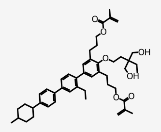 C=C(C)C(=O)OCCCc1cc(-c2ccc(-c3ccc(C4CCC(C)CC4)cc3)cc2CC)cc(CCCOC(=O)C(=C)C)c1OCCC(CC)(CO)CO